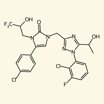 CC(O)c1nc(Cn2cc(-c3ccc(Cl)cc3)n(CC(O)C(F)(F)F)c2=O)nn1-c1cccc(F)c1Cl